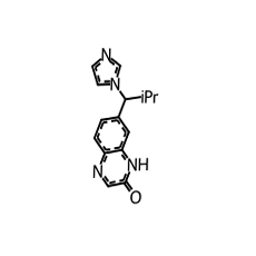 CC(C)C(c1ccc2ncc(=O)[nH]c2c1)n1ccnc1